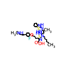 CCCCCCN(C(=N)/C=C(/C)C(=N)Nc1nc2ccccc2s1)c1nc(C(=O)O)c(CCCOc2ccc(C#CCNC)cc2F)s1